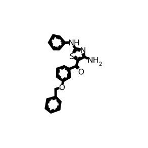 Nc1nc(Nc2ccccc2)sc1C(=O)c1cccc(OCc2ccccc2)c1